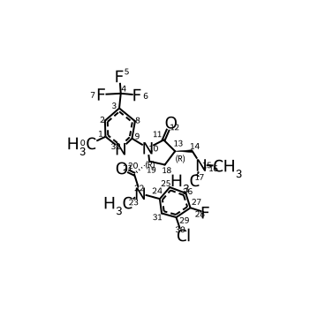 Cc1cc(C(F)(F)F)cc(N2C(=O)[C@@H](CN(C)C)C[C@@H]2C(=O)N(C)c2ccc(F)c(Cl)c2)n1